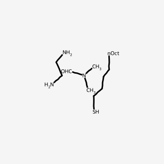 CCCCCCCCCCCCS.CN(C)C=O.NCCN